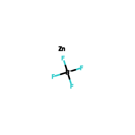 F[B-](F)(F)F.[Zn]